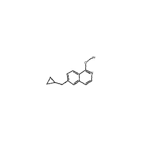 CC(C)Oc1nccc2cc(CC3CC3)ccc12